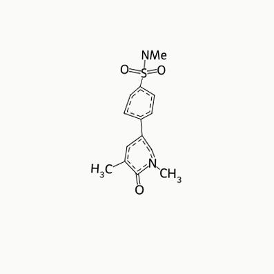 CNS(=O)(=O)c1ccc(-c2cc(C)c(=O)n(C)c2)cc1